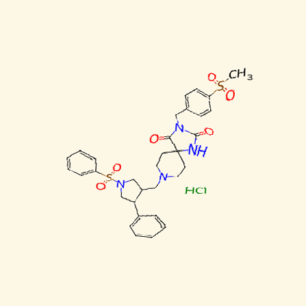 CS(=O)(=O)c1ccc(CN2C(=O)NC3(CCN(CC4CN(S(=O)(=O)c5ccccc5)CC4c4ccccc4)CC3)C2=O)cc1.Cl